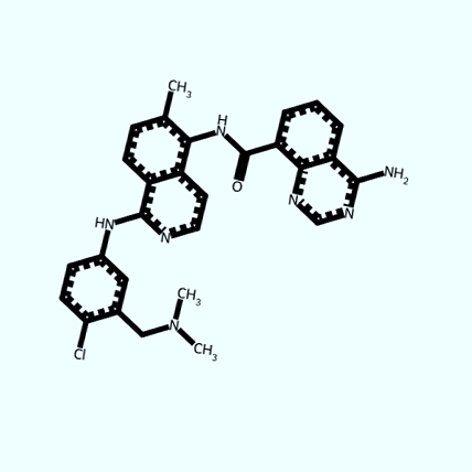 Cc1ccc2c(Nc3ccc(Cl)c(CN(C)C)c3)nccc2c1NC(=O)c1cccc2c(N)ncnc12